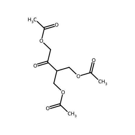 CC(=O)OCC(=O)C(COC(C)=O)COC(C)=O